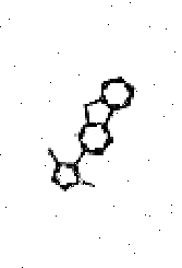 Cc1ccp(C)c1-c1[c]c2c(cc1)-c1ccccc1C2